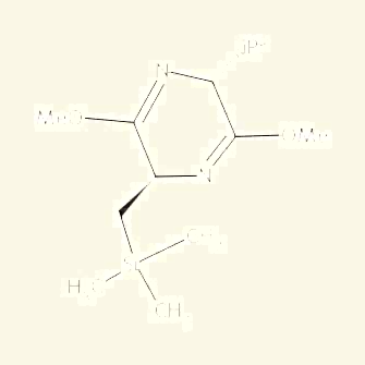 COC1=N[C@H](C(C)C)C(OC)=N[C@H]1C[Si](C)(C)C